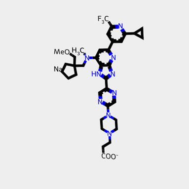 COCC1(CN(C)c2cc(-c3cc(C4CC4)nc(C(F)(F)F)c3)nc3nc(-c4cnc(N5CCN(CCC(=O)[O-])CC5)cn4)[nH]c23)CCCC1.[Na+]